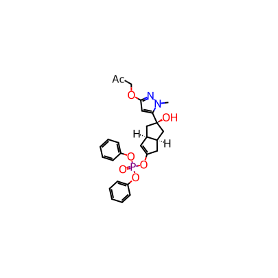 CC(=O)COc1cc([C@]2(O)C[C@H]3CC(OP(=O)(Oc4ccccc4)Oc4ccccc4)=C[C@H]3C2)n(C)n1